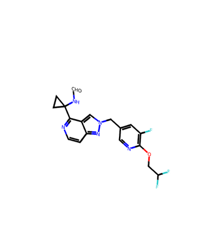 O=CNC1(c2nccc3nn(Cc4cnc(OCC(F)F)c(F)c4)cc23)CC1